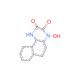 O=c1[nH]c2c3ccccc3ccc2n(O)c1=O